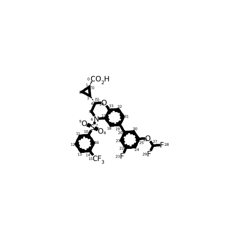 O=C(O)[C@H]1CC1[C@H]1CN(S(=O)(=O)c2cccc(C(F)(F)F)c2)c2cc(-c3cc(F)cc(OC(F)F)c3)ccc2O1